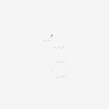 CCC[C@H](O)c1nc2ccccc2nc1Cl